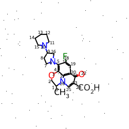 C[C@H]1COc2c(N3CCC(N4CCCCC4)C3)c(F)cc3c(=O)c(C(=O)O)cn1c23